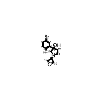 OC1(c2cc(Br)ccc2F)CCN(C2COC2)C1